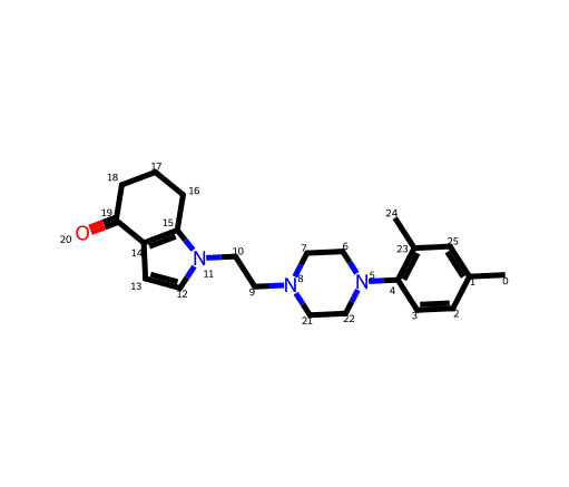 Cc1ccc(N2CCN(CCn3ccc4c3CCCC4=O)CC2)c(C)c1